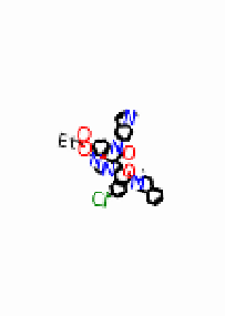 CCC(=O)Oc1ccc(N(C(=O)c2cc(-c3cc(Cl)ccc3C(=O)N3Cc4ccccc4C[C@H]3C)n3c2CN(C)CC3)c2ccc3c(ccn3C)c2)cc1